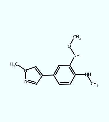 CNc1ccc(-c2cnn(C)c2)cc1NOC